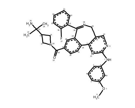 COc1cccc(Nc2ncc3c(n2)-c2ccc(C(=O)N4CC(C(C)(C)N)C4)cc2C(c2ccccc2F)=NC3)c1